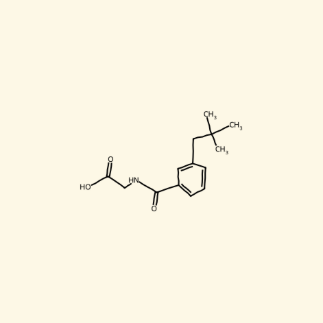 CC(C)(C)Cc1cccc(C(=O)NCC(=O)O)c1